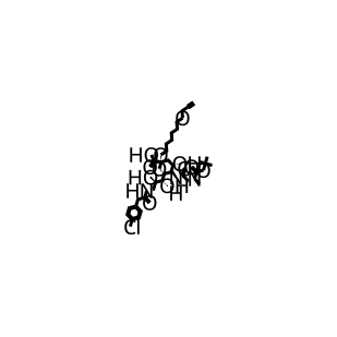 C#CCOCCCCCCO[C@]1(C(=O)O)C[C@H](O)[C@@H](NC(=O)CN(C)C(=O)OC(C)(C)C)[C@H]([C@H](O)[C@H](O)CNC(=O)Cc2ccc(Cl)cc2)O1